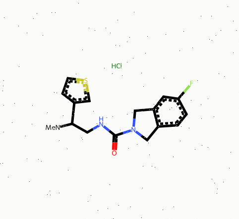 CNC(CNC(=O)N1Cc2ccc(F)cc2C1)c1ccsc1.Cl